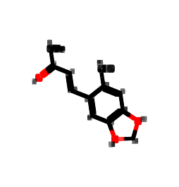 COC(=O)C=Cc1cc2c(cc1C=O)OCO2